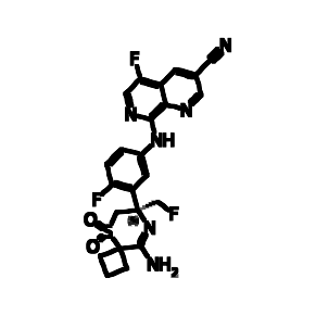 N#Cc1cnc2c(Nc3ccc(F)c([C@]4(CF)CS(=O)(=O)C5(CCC5)C(N)=N4)c3)ncc(F)c2c1